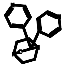 c1cc(C2(c3ccncc3)CN3CCN2CC3)ccn1